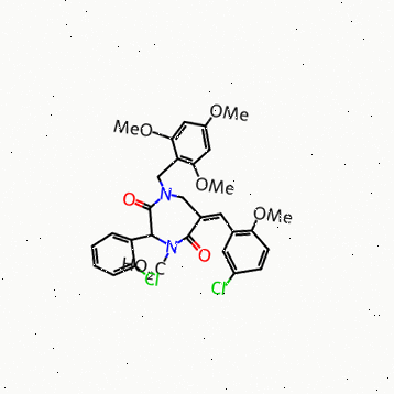 COc1cc(OC)c(CN2CC(=Cc3cc(Cl)ccc3OC)C(=O)N(C(=O)O)C(c3ccccc3Cl)C2=O)c(OC)c1